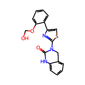 O=C1Nc2ccccc2CN1c1nc(-c2ccccc2OCO)cs1